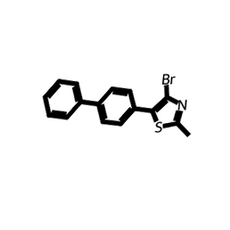 Cc1nc(Br)c(-c2ccc(-c3ccccc3)cc2)s1